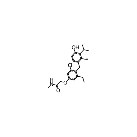 CCc1cc(OCC(=O)NC)cc(Cl)c1Cc1ccc(O)c(C(C)C)c1F